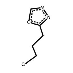 ClCCCc1nnco1